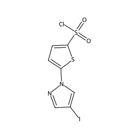 O=S(=O)(Cl)c1ccc(-n2cc(I)cn2)s1